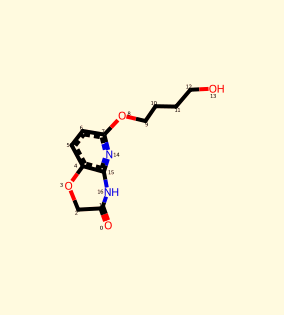 O=C1COc2ccc(OCCCCO)nc2N1